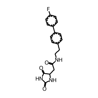 O=C(CC1NC(=O)NC1=O)NCCc1ccc(-c2ccc(F)cc2)cc1